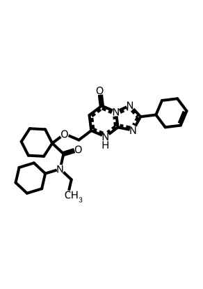 CCN(C(=O)C1(OCc2cc(=O)n3nc(C4CC=CCC4)nc3[nH]2)CCCCC1)C1CCCCC1